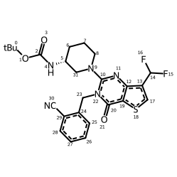 CC(C)(C)OC(=O)N[C@@H]1CCCN(c2nc3c(C(F)F)csc3c(=O)n2Cc2ccccc2C#N)C1